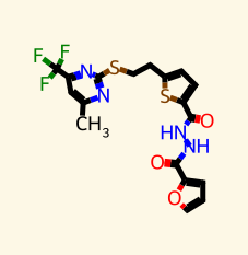 Cc1cc(C(F)(F)F)nc(SCCc2ccc(C(=O)NNC(=O)c3ccco3)s2)n1